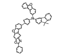 CC1(C)c2ccccc2-c2cc(N(c3ccc(-c4ccc5oc6cc7oc(-c8ccccc8)nc7cc6c5c4)cc3)c3ccc4oc5ccccc5c4c3)ccc21